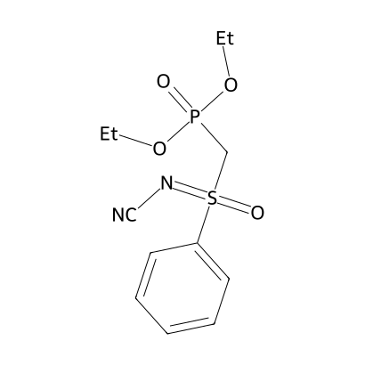 CCOP(=O)(CS(=O)(=NC#N)c1ccccc1)OCC